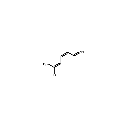 CC/C(C)=C/C=C\C=N